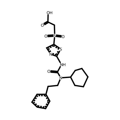 O=C(O)CS(=O)(=O)c1cnc(NC(=O)N(CCc2ccccc2)C2CCCCC2)s1